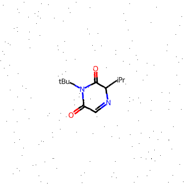 CC(C)C1N=CC(=O)N(C(C)(C)C)C1=O